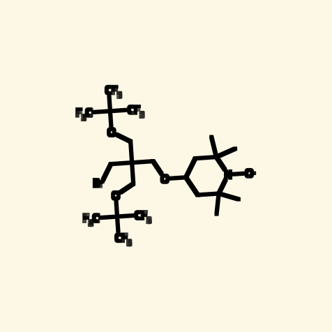 CC1(C)CC(OCC(CBr)(COC(C(F)(F)F)(C(F)(F)F)C(F)(F)F)COC(C(F)(F)F)(C(F)(F)F)C(F)(F)F)CC(C)(C)N1[O]